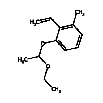 C=Cc1c(C)cccc1OC(C)OCC